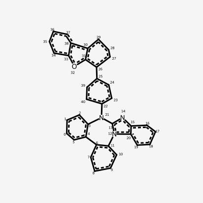 c1ccc2c(c1)-c1ccccc1-n1c(nc3ccccc31)N2c1ccc(-c2cccc3c2oc2ccccc23)cc1